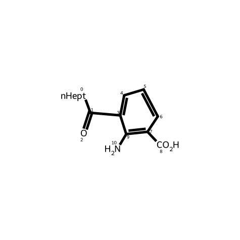 CCCCCCCC(=O)c1cccc(C(=O)O)c1N